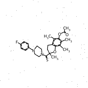 CC(=O)Oc1c(C)c(C)c2c(c1C)CCC(C)(C(=S)N1CCN(c3ccc(F)cc3)CC1)O2